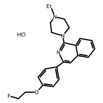 CCN1CCN(c2nc(-c3ccc(OCCF)cc3)cc3ccccc23)CC1.Cl